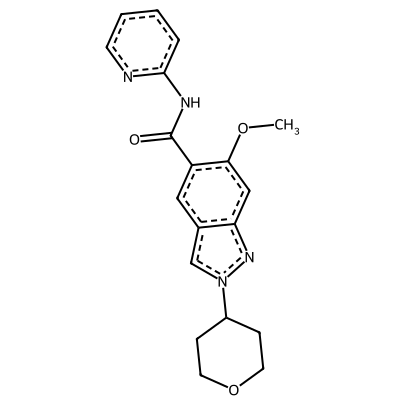 COc1cc2nn(C3CCOCC3)cc2cc1C(=O)Nc1ccccn1